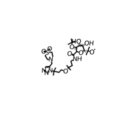 COC(C)(C)[C@@H]1OC(C(=O)NCCC(C)(C)OCCC(C)(C)n2nncc2CN2CCS(=O)(=O)CC2)[C@@H](OC(C)(C)C)[C@H](O)[C@@H]1O